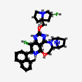 Cc1cccc2cccc(-c3nc4c5c(nc(OC[C@@]67CCCN6C[C@H](F)C7)nc5c3F)N3CC5CCC(N5)C3CO4)c12